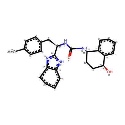 COc1ccc(C[C@@H](NC(=O)N[C@H]2CC[C@H](O)c3ccccc32)c2nc3ccccc3[nH]2)cc1